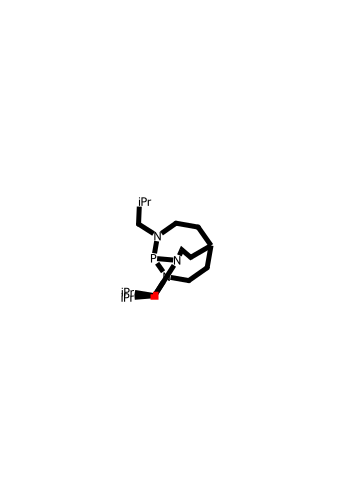 CC(C)CN1CCC2CCN(CC(C)C)P1N(CC(C)C)CC2